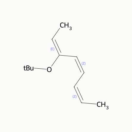 C\C=C/C=C\C(=C/C)OC(C)(C)C